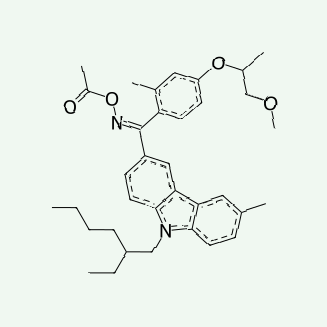 CCCCC(CC)Cn1c2ccc(C)cc2c2cc(/C(=N/OC(C)=O)c3ccc(OC(C)COC)cc3C)ccc21